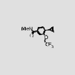 CNC(=O)c1ccc(C2CC2)c(OCC(F)(F)F)c1